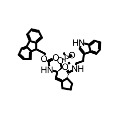 CP(C)(=O)OC[C@@H](/C=C1/CCC[C@H]1C(=O)NCCc1c[nH]c2ccccc12)NC(=O)OCC1c2ccccc2-c2ccccc21